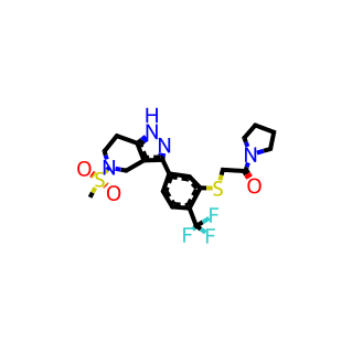 CS(=O)(=O)N1CCc2[nH]nc(-c3ccc(C(F)(F)F)c(SCC(=O)N4CCCC4)c3)c2C1